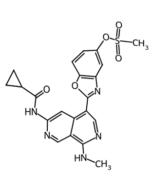 CNc1ncc(-c2nc3cc(OS(C)(=O)=O)ccc3o2)c2cc(NC(=O)C3CC3)ncc12